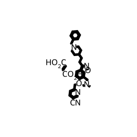 CN(C)Cc1c(OCc2ccc(C#N)cn2)ccc2c(CCC3CCN(Cc4ccccc4)CC3)noc12.O=C(O)C=CC(=O)O